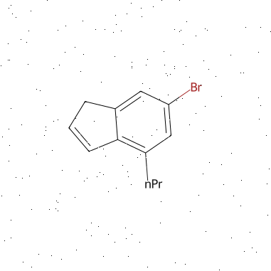 CCCc1cc(Br)cc2c1C=CC2